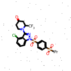 CC(C)S(=O)(=O)c1ccc(S(=O)(=O)n2nc(N3CCC(=O)CC3C(F)(F)F)c3c(Cl)cccc32)cc1